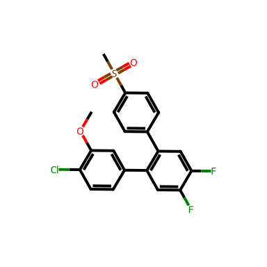 COc1cc(-c2cc(F)c(F)cc2-c2ccc(S(C)(=O)=O)cc2)ccc1Cl